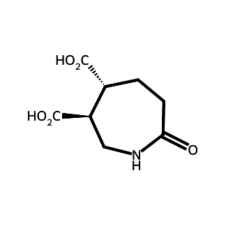 O=C1CC[C@@H](C(=O)O)[C@H](C(=O)O)CN1